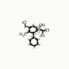 CCC(CC)=NO.Cc1c(CCl)cccc1-c1ccccc1